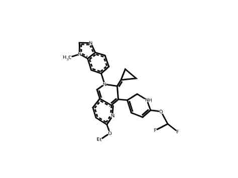 CCOc1ccc2c(n1)=C(C1=CC=C(OC(F)F)NC1)C(=C1CC1)N(c1ccc3ncn(C)c3c1)C=2